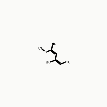 C/C=C(\C=C(/ON)C(C)(C)C)C(C)(C)C